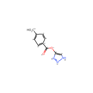 O=C(O)c1ccc(C(=O)Oc2c[nH]nn2)cc1